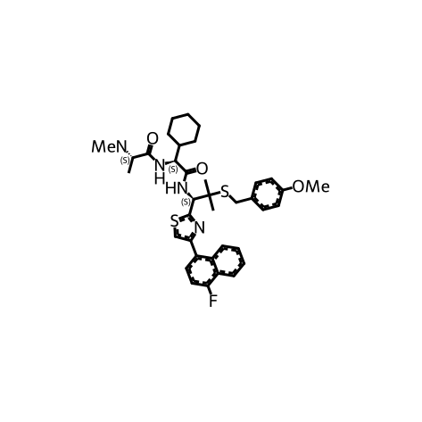 CN[C@@H](C)C(=O)N[C@H](C(=O)N[C@H](c1nc(-c2ccc(F)c3ccccc23)cs1)C(C)(C)SCc1ccc(OC)cc1)C1CCCCC1